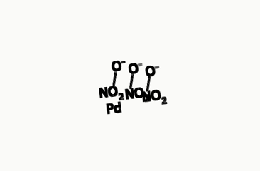 O=[N+]([O-])[O-].O=[N+]([O-])[O-].O=[N+]([O-])[O-].[Pd]